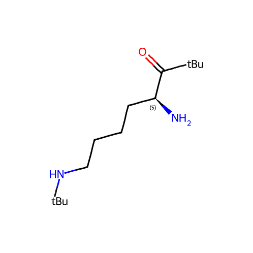 CC(C)(C)NCCCC[C@H](N)C(=O)C(C)(C)C